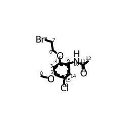 COc1cc(OCCBr)c(NC(C)=O)cc1Cl